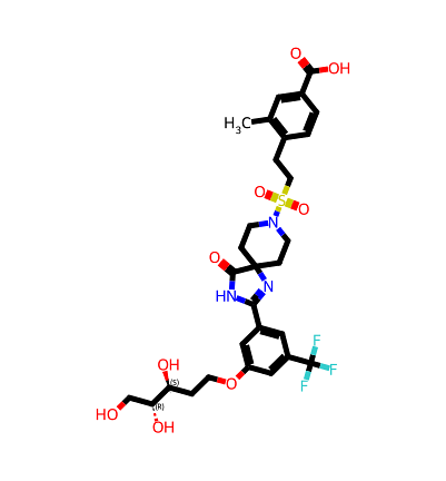 Cc1cc(C(=O)O)ccc1CCS(=O)(=O)N1CCC2(CC1)N=C(c1cc(OCC[C@H](O)[C@H](O)CO)cc(C(F)(F)F)c1)NC2=O